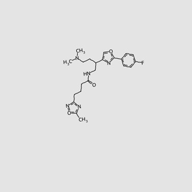 Cc1nc(CCCC(=O)NCC(CCN(C)C)c2coc(-c3ccc(F)cc3)n2)no1